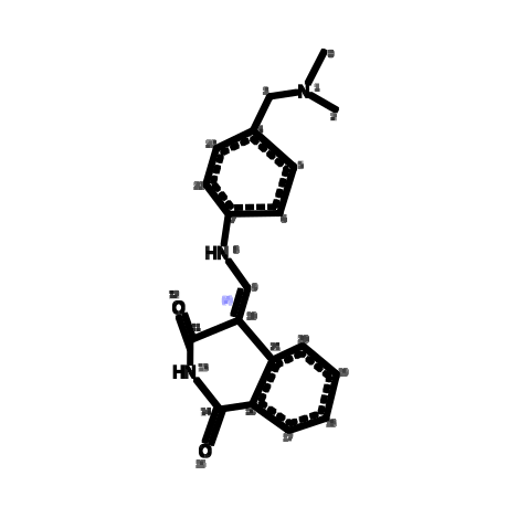 CN(C)Cc1ccc(N/C=C2\C(=O)NC(=O)c3ccccc32)cc1